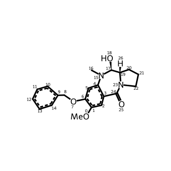 COc1cc2c(cc1OCc1ccccc1)N(C)[C@@H](O)[C@@H]1CCCN1C2=O